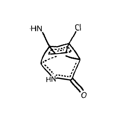 [NH]c1c(Cl)c2ccc1[nH]c2=O